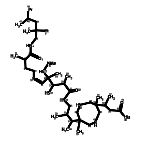 CCC(C)(CNC(=O)C(C)CC/N=C\C(C)(NNC)C(S)C(C)C(=O)NCC(C)C(C)C1(C)CNCC(C)(C(C)CC(=O)C(C)(C)C)CNC1)CC(C)C(C)C